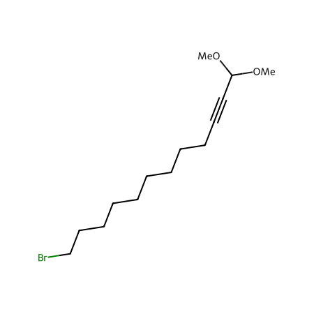 COC(C#CCCCCCCCCCBr)OC